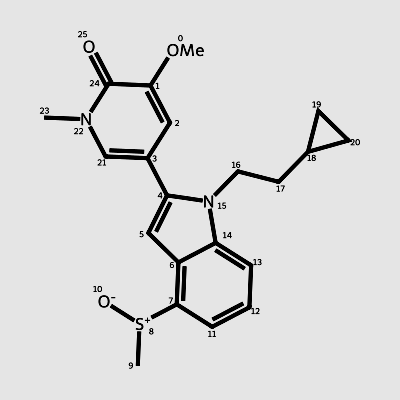 COc1cc(-c2cc3c([S+](C)[O-])cccc3n2CCC2CC2)cn(C)c1=O